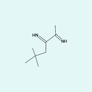 CC(=N)C(=N)CC(C)(C)C